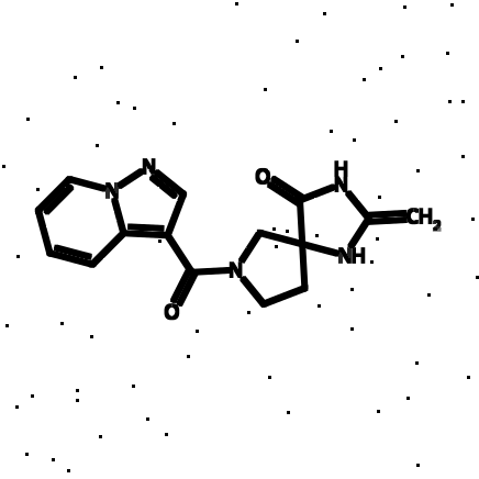 C=C1NC(=O)C2(CCN(C(=O)c3cnn4ccccc34)C2)N1